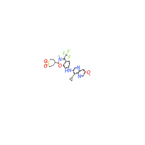 COc1cnc2c(C3CC3)c(Nc3ccc([C@H](N(C)C(=O)C4CCS(=O)(=O)CC4)C(F)(F)F)cc3)cnc2c1